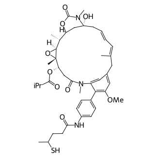 COc1cc2cc(c1-c1ccc(NC(=O)CCC(C)S)cc1)N(C)C(=O)C[C@H](OC(=O)C(C)C)[C@]1(C)O[C@H]1[C@H](C)[C@@H]1C[C@](O)(C/C=C/C=C(\C)C2)N(C)C(=O)O1